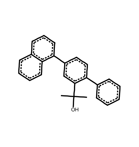 CC(C)(O)c1cc(-c2cccc3ccccc23)ccc1-c1ccccc1